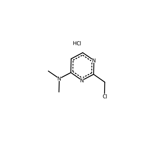 CN(C)c1ccnc(CCl)n1.Cl